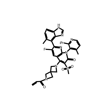 C=CC(=O)N1CC2(C1)CN(c1c(S(C)(=O)=O)c(=O)n(-c3c(C)ccnc3C(C)C)c3nc(-c4c(C)ccc5[nH]cnc45)c(F)cc13)C2